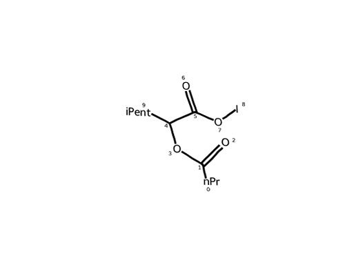 CCCC(=O)OC(C(=O)OI)C(C)CCC